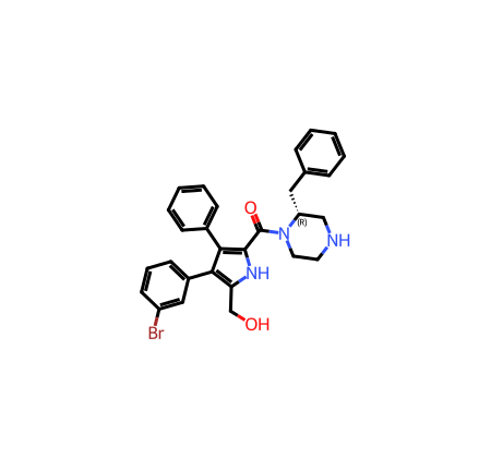 O=C(c1[nH]c(CO)c(-c2cccc(Br)c2)c1-c1ccccc1)N1CCNC[C@H]1Cc1ccccc1